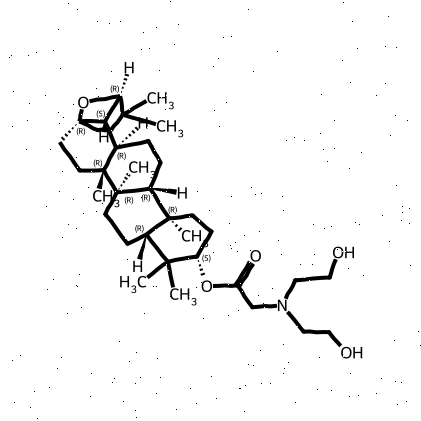 CC1(C)CC[C@]23CC[C@]4(C)[C@H](CC[C@@H]5[C@@]6(C)CC[C@H](OC(=O)CN(CCO)CCO)C(C)(C)[C@@H]6CC[C@]54C)[C@H]2[C@H]1O3